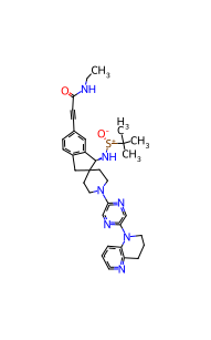 CCNC(=O)C#Cc1ccc2c(c1)[C@@H](N[S@+]([O-])C(C)(C)C)C1(CCN(c3cnc(N4CCCc5ncccc54)cn3)CC1)C2